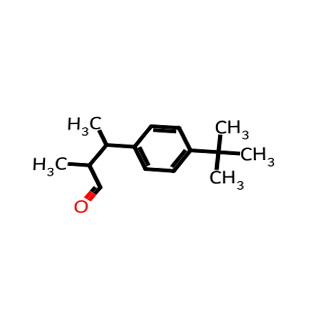 CC(C=O)C(C)c1ccc(C(C)(C)C)cc1